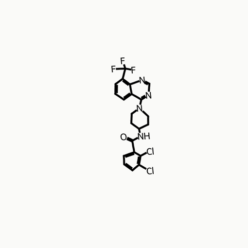 O=C(NC1CCN(c2ncnc3c(C(F)(F)F)cccc23)CC1)c1cccc(Cl)c1Cl